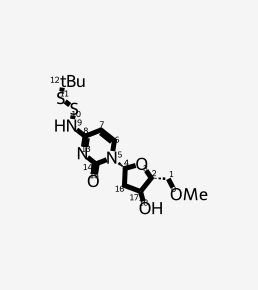 COC[C@H]1O[C@@H](n2ccc(NSSC(C)(C)C)nc2=O)CC1O